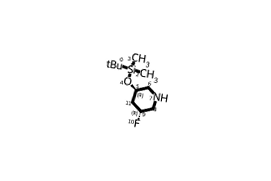 CC(C)(C)[Si](C)(C)O[C@H]1CNC[C@H](F)C1